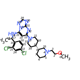 COCCN1CCC[C@H](C2CCN(c3cc(N[C@H](C)c4ccc(Cl)cc4Cl)n4ncnc4n3)CC2)C1